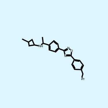 CC(C)Cc1ccc(-c2nc(-c3ccc(C(C)NC4CC(C)C4)cc3)no2)cc1